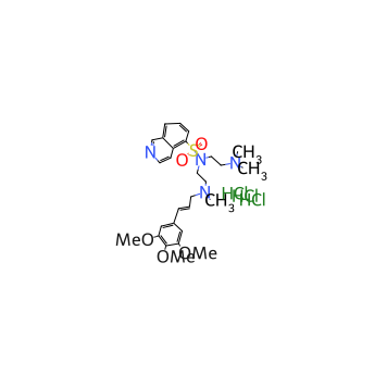 COc1cc(C=CCN(C)CCN(CCN(C)C)S(=O)(=O)c2cccc3cnccc23)cc(OC)c1OC.Cl.Cl.Cl